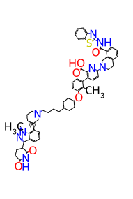 Cc1c(OC2CCC(CCCCN3CCC[C@H](c4cccc5c(C6CCC(=O)NC6=O)nn(C)c45)C3)CC2)cccc1-c1ccc(N2CCc3cccc(C(=O)Nc4nc5ccccc5s4)c3C2)nc1C(=O)O